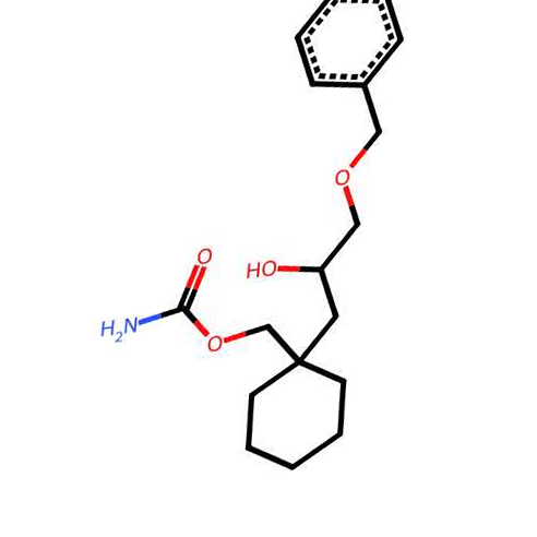 NC(=O)OCC1(CC(O)COCc2ccccc2)CCCCC1